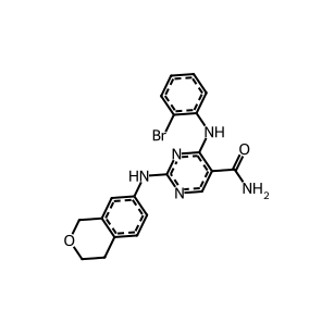 NC(=O)c1cnc(Nc2ccc3c(c2)COCC3)nc1Nc1ccccc1Br